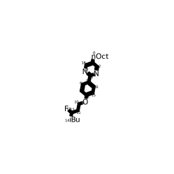 CCCCCCCCc1cnc(-c2ccc(OCCC(F)C(C)CC)cc2)nc1